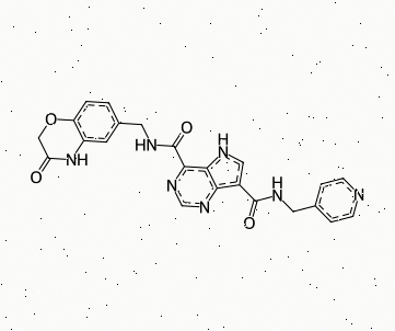 O=C1COc2ccc(CNC(=O)c3ncnc4c(C(=O)NCc5ccncc5)c[nH]c34)cc2N1